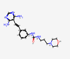 Nc1ncnc(N)c1C#Cc1cccc(NC(=O)NCCCN2CCOCC2)c1